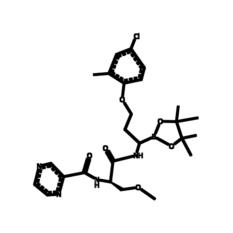 COC[C@@H](NC(=O)c1cnccn1)C(=O)NC(CCOc1ccc(Cl)cc1C)B1OC(C)(C)C(C)(C)O1